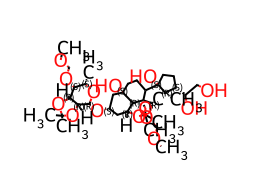 COCO[C@@H]1[C@H]2OC(C)(C)O[C@H]2[C@H](O[C@H]2C[C@H]3OC(C)(C)OC[C@]34C3C(CC[C@]4(O)C2)[C@@]2(O)CC[C@H](C(O)CO)[C@@]2(C)C[C@H]3OCOC)O[C@H]1C